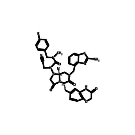 CN(Cc1ccc(F)cc1)C(=O)N(CC#N)N1CC(=O)N2[C@@H](Cc3ccc4c(c3)NC(=O)CO4)C(=O)N(Cc3cccc4sc(N)nc34)C[C@@H]21